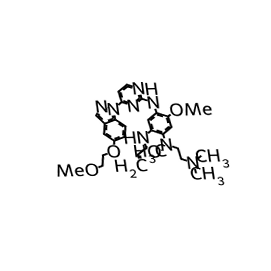 C=CC(=O)Nc1cc(Nc2nccc(-n3ncc4cc(OCCOC)ccc43)n2)c(OC)cc1N(C)CCN(C)C